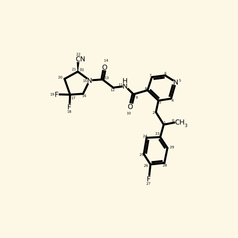 CC(Cc1cnccc1C(=O)NCC(=O)N1CC(F)(F)C[C@H]1C#N)c1ccc(F)cc1